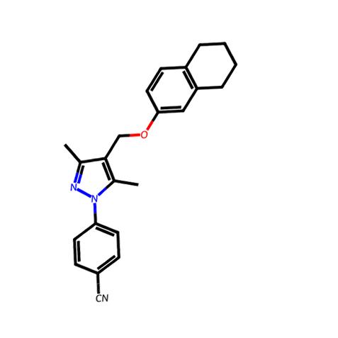 Cc1nn(-c2ccc(C#N)cc2)c(C)c1COc1ccc2c(c1)CCCC2